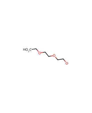 [O]CCOCCOCC(=O)O